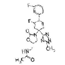 CC(=O)NC[C@H]1CN(C2(c3nnn(C)n3)C=CC(c3cccc(F)c3)C(F)=C2)C(=O)O1